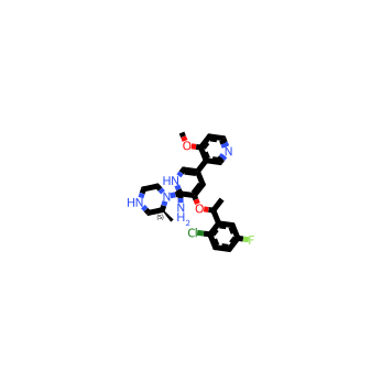 COc1ccncc1C1=CNC(N)(N2CCNC[C@@H]2C)C(OC(C)c2cc(F)ccc2Cl)=C1